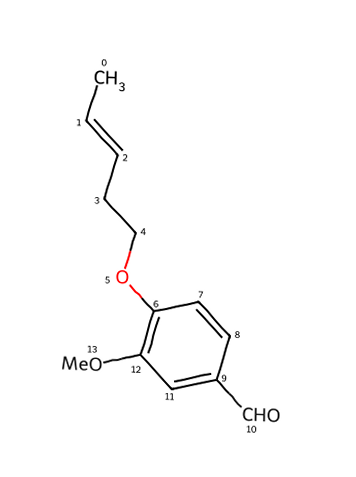 CC=CCCOc1ccc(C=O)cc1OC